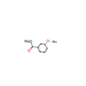 CCC(C)Oc1cccc(C(=O)OC)c1